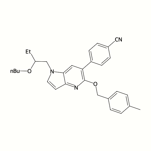 CCCCOC(CC)Cn1ccc2nc(OCc3ccc(C)cc3)c(-c3ccc(C#N)cc3)cc21